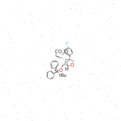 CCOC(=O)/C=C\C[C@H]1[C@H](CO[Si](c2ccccc2)(c2ccccc2)C(C)(C)C)[C@@H]2C[C@@]1(c1ccc(F)cc1)CO2